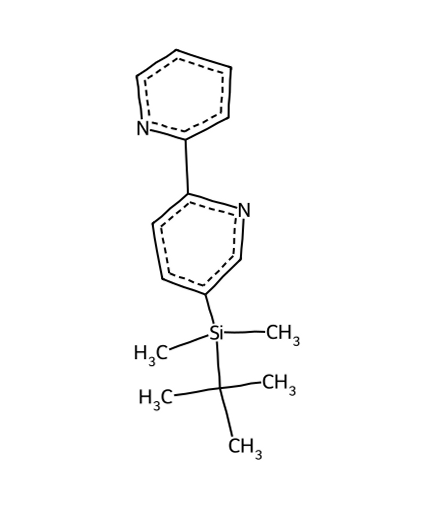 CC(C)(C)[Si](C)(C)c1ccc(-c2ccccn2)nc1